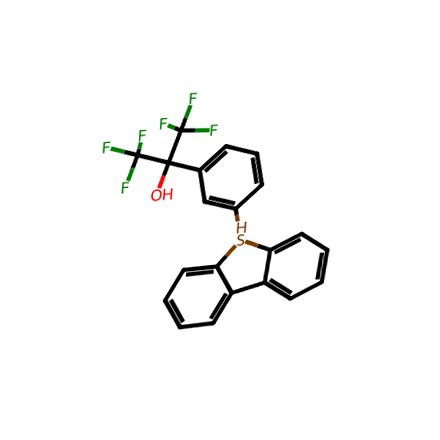 OC(c1cccc([SH]2c3ccccc3-c3ccccc32)c1)(C(F)(F)F)C(F)(F)F